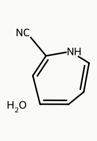 N#CC1=CC=CC=CN1.O